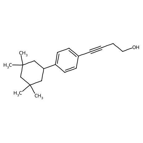 CC1(C)CC(c2ccc(C#CCCO)cc2)CC(C)(C)C1